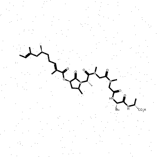 C/C=C(\C)C[C@@H](C)CC/C=C(\C)C(=O)O[C@@H]1CC(C)N([C@@H](C)C(=O)N(C)CC(=O)N(C)CC(=O)N[C@H](C(=O)N[C@H](C)C(=O)O)C(C)CC)C1=O